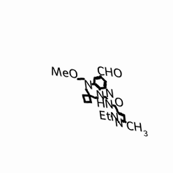 CCn1nc(C)cc1C(=O)Nc1nc2cc(C=O)cc3c2n1CC1(CCC1)CN3CCOC